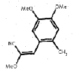 COC(C#N)=Cc1cc(OC)c(OC)cc1C